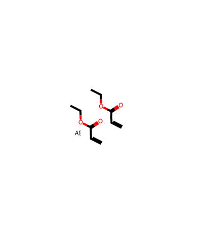 C=CC(=O)OCC.C=CC(=O)OCC.[Al]